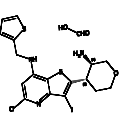 N[C@H]1COCC[C@@H]1c1sc2c(NCc3cccs3)cc(Cl)nc2c1I.O=CO